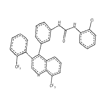 O=C(Nc1cccc(-c2c(-c3ccccc3C(F)(F)F)cnc3c(C(F)(F)F)cccc23)c1)Nc1ccccc1Cl